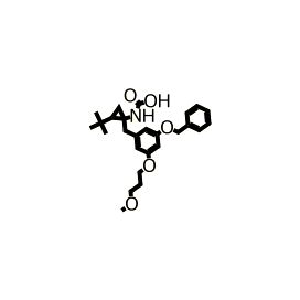 COCCCOc1cc(CC2(NC(=O)O)CC2C(C)(C)C)cc(OCc2ccccc2)c1